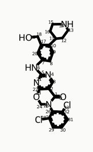 O=C1c2cnc(Nc3ccc(C4CCNCC4)c(CO)c3)nc2OCN1c1c(Cl)cccc1Cl